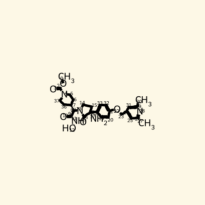 COC(=O)N1CCC([C@H](C(=O)NO)N2CC[C@@](N)(c3ccc(OCc4cc(C)nc(C)c4)cc3)C2=O)CC1